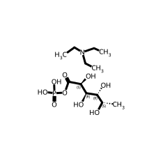 CCN(CC)CC.C[C@H](O)[C@@H](O)[C@@H](O)[C@H](O)C(=O)OP(=O)(O)O